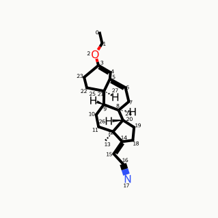 CCOC1=CC2=CC[C@@H]3[C@H](CC[C@]4(C)/C(=C/C#N)CC[C@@H]34)[C@H]2CC1